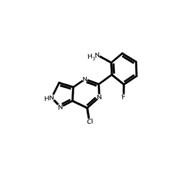 Nc1cccc(F)c1-c1nc(Cl)c2n[nH]cc2n1